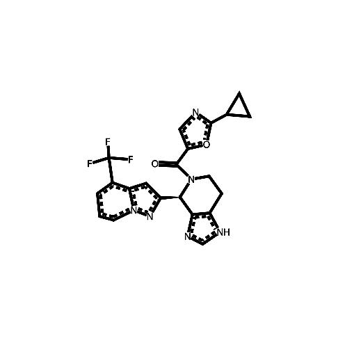 O=C(c1cnc(C2CC2)o1)N1CCc2[nH]cnc2[C@H]1c1cc2c(C(F)(F)F)cccn2n1